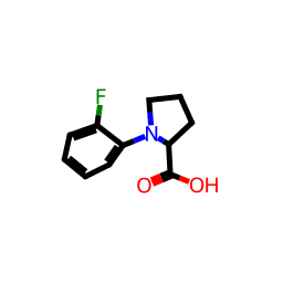 O=C(O)C1CCCN1c1ccccc1F